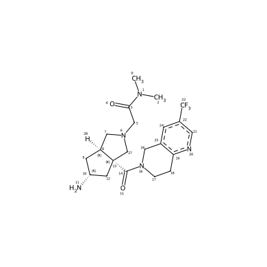 CN(C)C(=O)CN1C[C@@H]2C[C@@H](N)C[C@]2(C(=O)N2CCc3ncc(C(F)(F)F)cc3C2)C1